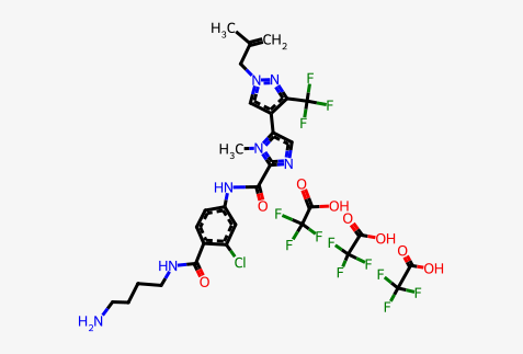 C=C(C)Cn1cc(-c2cnc(C(=O)Nc3ccc(C(=O)NCCCCN)c(Cl)c3)n2C)c(C(F)(F)F)n1.O=C(O)C(F)(F)F.O=C(O)C(F)(F)F.O=C(O)C(F)(F)F